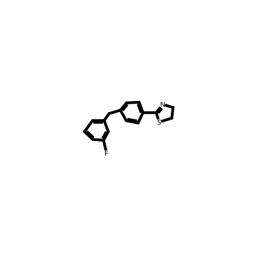 Fc1cccc(Cc2ccc(C3=NCCS3)cc2)c1